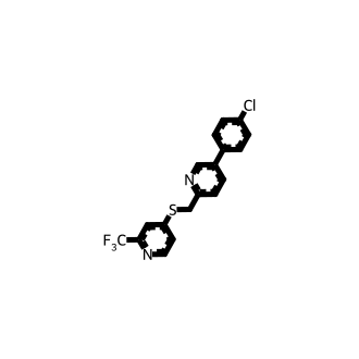 FC(F)(F)c1cc(SCc2ccc(-c3ccc(Cl)cc3)cn2)ccn1